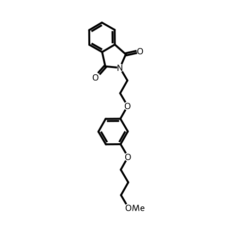 COCCCOc1cccc(OCCN2C(=O)c3ccccc3C2=O)c1